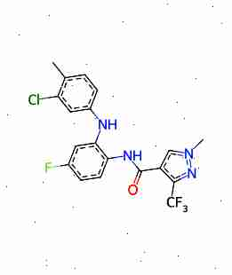 Cc1ccc(Nc2cc(F)ccc2NC(=O)c2cn(C)nc2C(F)(F)F)cc1Cl